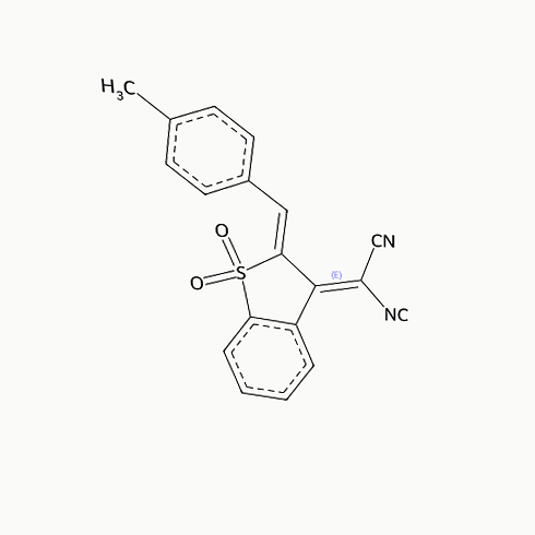 [C-]#[N+]/C(C#N)=C1/C(=Cc2ccc(C)cc2)S(=O)(=O)c2ccccc21